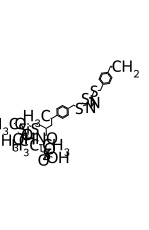 C=Cc1ccc(CSc2nnc(SCc3ccc(C(C)CC(CSC[Si](CO)(OC)OC)C(=O)NC(C)(C)CS(=O)(=O)O)cc3)s2)cc1